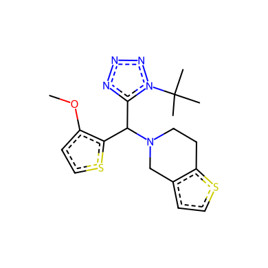 COc1ccsc1C(c1nnnn1C(C)(C)C)N1CCc2sccc2C1